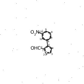 O=Cc1sccc1-c1cccc([N+](=O)[O-])c1